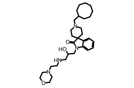 O=C1N(CC(O)CNCCN2CCOCC2)c2ccccc2C12CCN(CC1CCCCCCC1)CC2